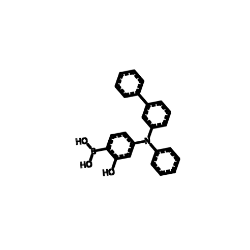 OB(O)c1ccc(N(c2ccccc2)c2cccc(-c3ccccc3)c2)cc1O